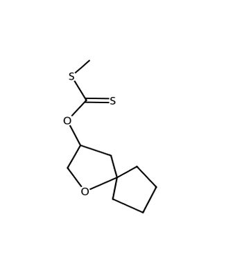 CSC(=S)OC1COC2(CCCC2)C1